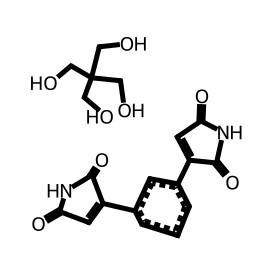 O=C1C=C(c2cccc(C3=CC(=O)NC3=O)c2)C(=O)N1.OCC(CO)(CO)CO